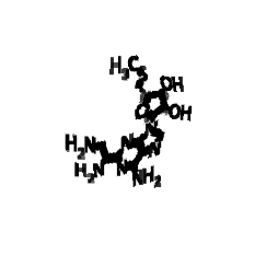 CSC[C@H]1O[C@@H](N2CN=c3c(N)nc(=C(N)CN)nc32)[C@H](O)[C@@H]1O